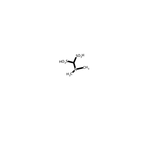 CN(C)C(S(=O)(=O)O)S(=O)(=O)O